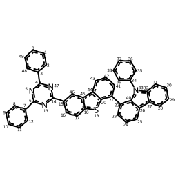 c1ccc(-c2nc(-c3ccccc3)nc(-c3ccc4sc5c(-c6cccc7c8ccccc8n(-c8ccccc8)c67)cccc5c4c3)n2)cc1